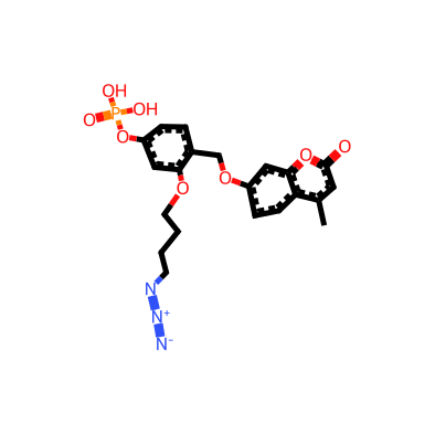 Cc1cc(=O)oc2cc(OCc3ccc(OP(=O)(O)O)cc3OCCCCN=[N+]=[N-])ccc12